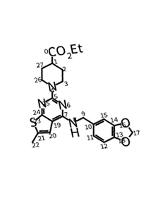 CCOC(=O)C1CCN(c2nc(NCc3ccc4c(c3)OCO4)c3cc(C)sc3n2)CC1